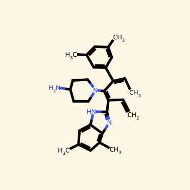 C=C/C(=C(\C(=C/C)c1cc(C)cc(C)c1)N1CCC(N)CC1)c1nc2c(C)cc(C)cc2[nH]1